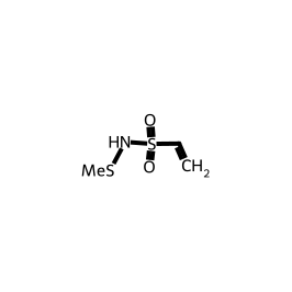 C=CS(=O)(=O)NSC